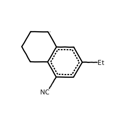 CCc1cc(C#N)c2c(c1)[CH]CCC2